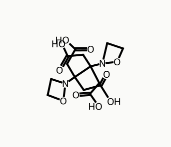 O=C(O)CC(CC(=O)O)(N1CCO1)C(CC(=O)O)(CC(=O)O)N1CCO1